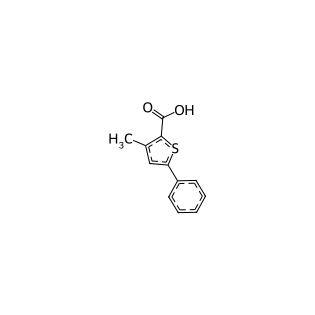 Cc1cc(-c2ccccc2)sc1C(=O)O